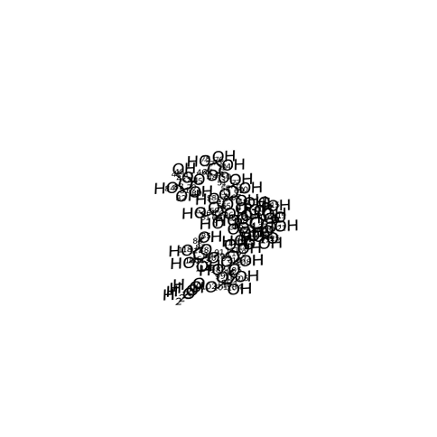 O.O.O.O.O=P(O)(O)O[C@H]1[C@H](OP(=O)(O)O)[C@@H](OP(=O)(O)O)[C@H](OP(=O)(O)O)[C@@H](OP(=O)(O)O)[C@H]1OP(=O)(O)O.OC[C@H]1O[C@H](OC[C@H]2O[C@H](OC[C@H]3O[C@H](O[C@]4(CO)O[C@H](CO)[C@@H](O)[C@@H]4O)[C@H](O)[C@@H](O)[C@@H]3O)[C@H](O)[C@@H](O)[C@H]2O)[C@H](O)[C@@H](O)[C@H]1O.OC[C@H]1O[C@H](OC[C@H]2O[C@H](O[C@]3(CO)O[C@H](CO)[C@@H](O)[C@@H]3O)[C@H](O)[C@@H](O)[C@@H]2O)[C@H](O)[C@@H](O)[C@H]1O